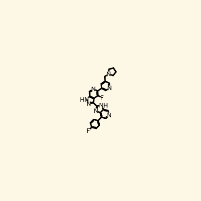 Fc1ccc(-c2cncc3[nH]c(-c4n[nH]c5cnc(-c6cncc(CN7CCCC7)c6)c(F)c45)nc23)cc1